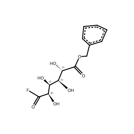 O=C(OCc1ccccc1)[C@@H](O)[C@@H](O)[C@H](O)[C@@H](O)C(=O)F